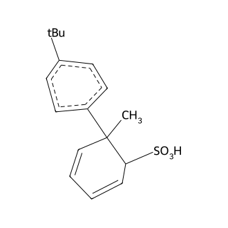 CC(C)(C)c1ccc(C2(C)C=CC=CC2S(=O)(=O)O)cc1